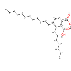 CCCCCCCCCCCCc1ccc(C(=O)O)c(C(=O)O)c1CCCCCCC